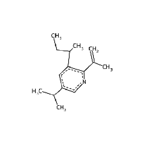 C=C(C)c1ncc(C(C)C)cc1C(C)CC